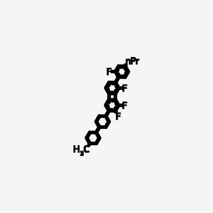 CCCc1ccc(-c2ccc3c(c2F)-c2c-3cc(C3CCC(C4CCC(C)CC4)CC3)c(F)c2F)c(F)c1